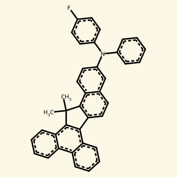 CC1(C)c2c(ccc3cc(N(c4ccccc4)c4ccc(F)cc4)ccc23)-c2c1c1ccccc1c1ccccc21